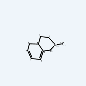 ClN1CCC2CC=CC=C2C1